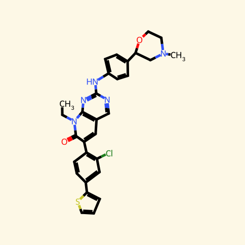 CCn1c(=O)c(-c2ccc(-c3cccs3)cc2Cl)cc2cnc(Nc3ccc(C4CN(C)CCO4)cc3)nc21